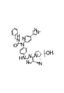 C[C@H]1[C@@H](C(C)(C)O)CCN1c1nc(Nc2ccc(N(C(=O)NCc3ccccc3)c3ccc(-c4cnn(C)c4)cn3)cc2)ncc1C#N